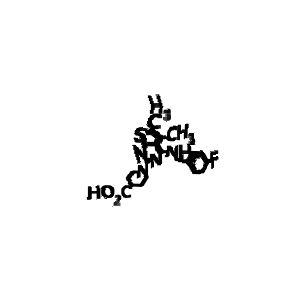 Cc1sc2nc(N3CCC(C(=O)O)CC3)nc(NCc3ccc(F)cc3)c2c1C